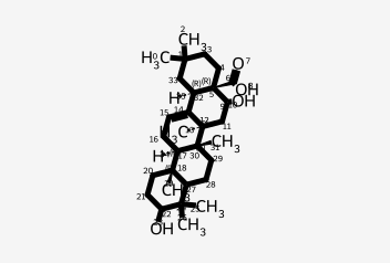 CC1(C)CC[C@]2(C(=O)O)C(O)C[C@]3(C)C(=CC[C@@H]4[C@@]5(C)CCC(O)C(C)(C)C5CC[C@]43C)[C@H]2C1